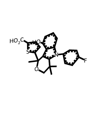 CC1(C)COC(C)(c2ccc(C(=O)O)s2)c2c1n(-c1ccc(F)cc1)c1cccc(O)c21